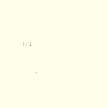 C=NC(=N)c1ccccc1